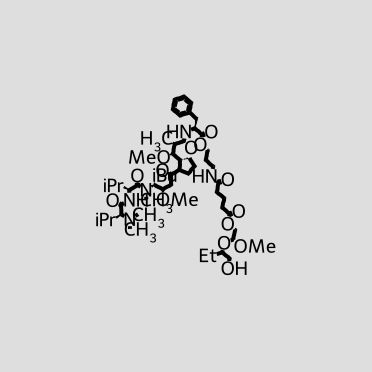 CCC(CO)OC(COC(=O)CCCC(=O)NCCCOC(=O)[C@H](Cc1ccccc1)NC(=O)[C@H](C)[C@@H](OC)[C@@H]1CCCC1C(=O)C[C@@H](OC)[C@H]([C@@H](C)CC)N(C)C(=O)[C@@H](NC(=O)[C@H](C(C)C)N(C)C)C(C)C)OC